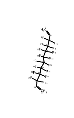 C=CC(F)(F)C(F)(F)C(F)(F)C(F)(F)C(F)(F)C(F)(F)C(F)(F)C(F)(F)C=C